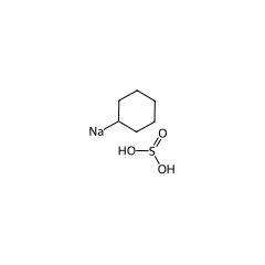 O=S(O)O.[Na][CH]1CCCCC1